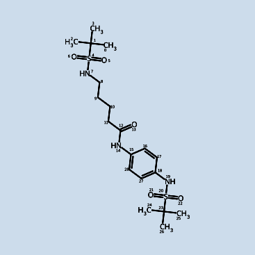 CC(C)(C)S(=O)(=O)NCCCCC(=O)Nc1ccc(NS(=O)(=O)C(C)(C)C)cc1